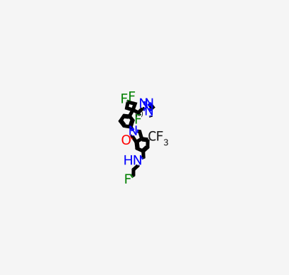 Cn1cnnc1[C@@H](F)C1(c2cccc(N3Cc4c(cc(CNCCCF)cc4C(F)(F)F)C3=O)c2)CC(F)(F)C1